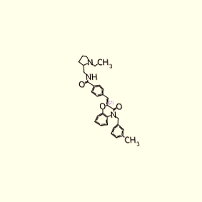 CCN1CCCC1CNC(=O)c1ccc(/C=C2\Oc3ccccc3N(Cc3cccc(C)c3)C2=O)cc1